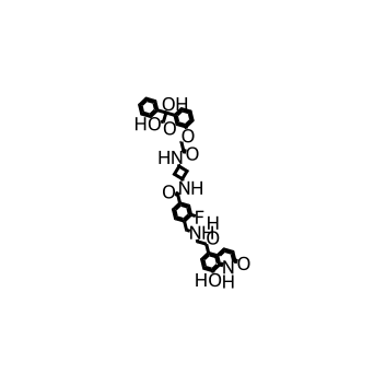 O=C(COc1cccc(C(O)(C(=O)O)c2ccccc2)c1)NC1CC(NC(=O)c2ccc(CNCC(O)c3ccc(O)c4[nH]c(=O)ccc34)c(F)c2)C1